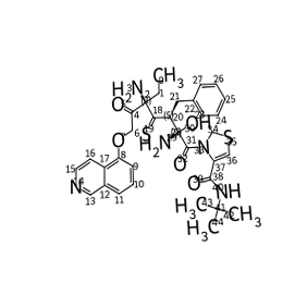 CC[C@@](N)(C(=O)COc1cccc2cnccc12)C(=S)[C@@H](Cc1ccccc1)[C@](N)(O)C(=O)N1CSC=C1C(=O)NC(C)(C)C